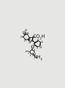 C[C@@H]1CN(N)C[C@@H]1Oc1ccccc1-c1sc2c(c1C(=O)O)CC(C)(C)CC2